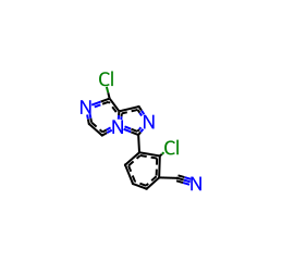 N#Cc1cccc(-c2ncc3c(Cl)nccn23)c1Cl